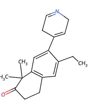 CCc1cc2c(cc1C1=CCN=CC1)C(C)(C)C(=O)CC2